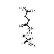 CS(=O)(=O)O.NC(=O)CCC(=O)NO